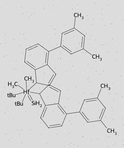 Cc1cc(C)cc(-c2cccc3c2C=C[CH]3[Hf]([CH3])([CH3])(=[SiH2])([CH]2C=Cc3c(-c4cc(C)cc(C)c4)cccc32)([C](C)(C)C)[C](C)(C)C)c1